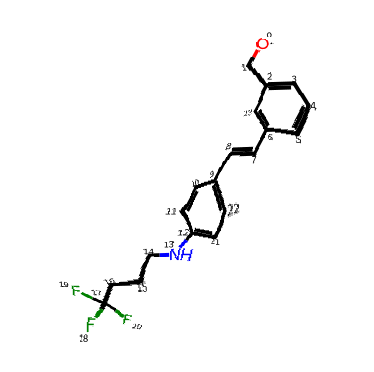 [O]Cc1cccc(C=Cc2ccc(NCCCC(F)(F)F)cc2)c1